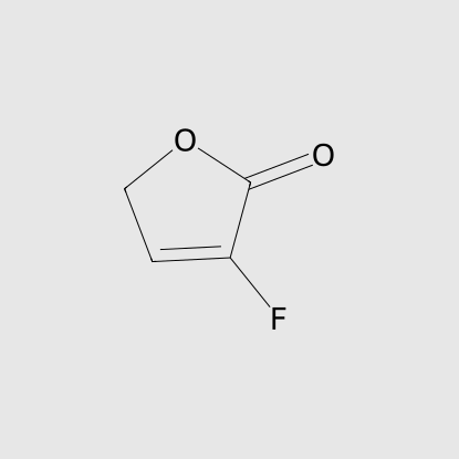 O=C1OCC=C1F